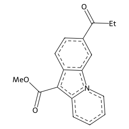 CCC(=O)c1ccc2c(C(=O)OC)c3ccccn3c2c1